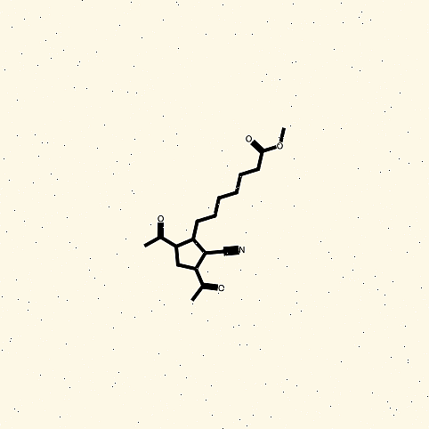 COC(=O)CCCCCCC1C(C(C)=O)CC(C(C)=O)C1C#N